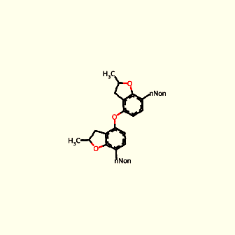 CCCCCCCCCc1ccc(Oc2ccc(CCCCCCCCC)c3c2CC(C)O3)c2c1OC(C)C2